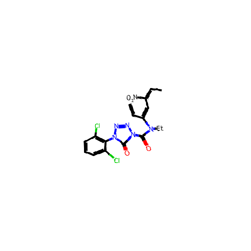 C=C/C(=C\C(=C/C)[N+](=O)[O-])N(CC)C(=O)n1nnn(-c2c(Cl)cccc2Cl)c1=O